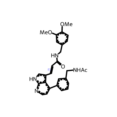 COc1ccc(CNC(=O)/C=C/c2c[nH]c3nccc(-c4cccc(CNC(C)=O)c4)c23)cc1OC